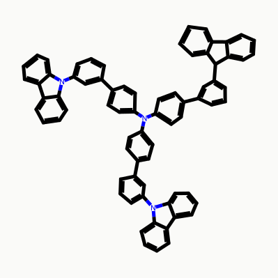 c1cc(-c2ccc(N(c3ccc(-c4cccc(-n5c6ccccc6c6ccccc65)c4)cc3)c3ccc(-c4cccc(-n5c6ccccc6c6ccccc65)c4)cc3)cc2)cc(C2c3ccccc3-c3ccccc32)c1